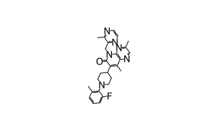 Cc1cnc2c(C)c(C3CCN(c4c(C)cccc4F)CC3)c(=O)n(Cc3nccnc3C)c2n1